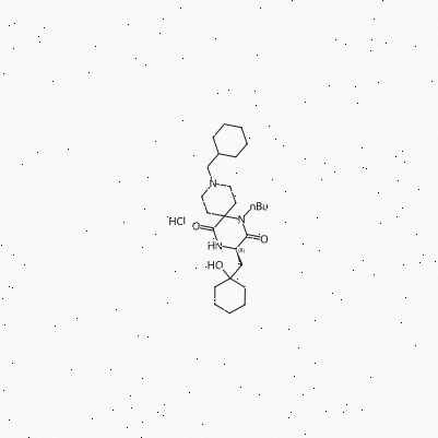 CCCCN1C(=O)[C@@H](CC2(O)CCCCC2)NC(=O)C12CCN(CC1CCCCC1)CC2.Cl